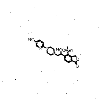 CS(=O)(=O)c1c(C(O)CN2CCN(c3ccc(C#N)cn3)CC2)ccc2c1COC2=O